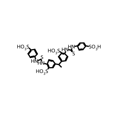 CC(c1ccc(NC(=S)Nc2ccc(S(=O)(=O)O)cc2)c(S(=O)(=O)O)c1)c1ccc(NC(=S)Nc2ccc(S(=O)(=O)O)cc2)c(S(=O)(=O)O)c1